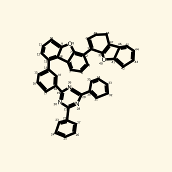 C1=C(c2cccc3c2oc2cccc(-c4cccc(-c5nc(-c6ccccc6)nc(-c6ccccc6)n5)c4)c23)c2oc3ccccc3c2CC1